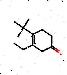 CCC1=C(C(C)(C)C)CCC(=O)C1